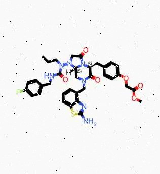 CCCN(C(=O)NCc1ccc(F)cc1)N1CC(=O)N2[C@@H](Cc3ccc(OCC(=O)OC)cc3)C(=O)N(Cc3cccc4sc(N)nc34)C[C@@H]21